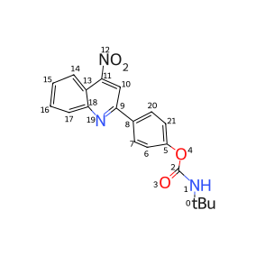 CC(C)(C)NC(=O)Oc1ccc(-c2cc([N+](=O)[O-])c3ccccc3n2)cc1